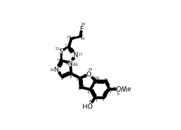 COc1cc(O)c2cc(-c3cnc4sc(CCF)nn34)oc2c1